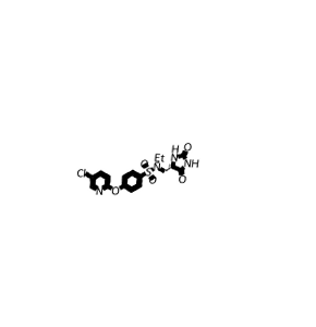 CCN(C[C@@H]1NC(=O)NC1=O)S(=O)(=O)c1ccc(Oc2ccc(Cl)cn2)cc1